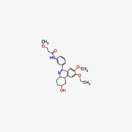 CCOc1cc2c(cc1OC)C(c1cccc(NC(=O)CCOC)c1)=NC1CCC(O)CC21